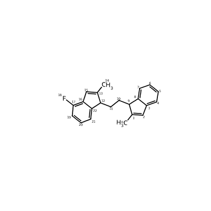 CC1=Cc2ccccc2C1CCC1C(C)=Cc2c(F)cccc21